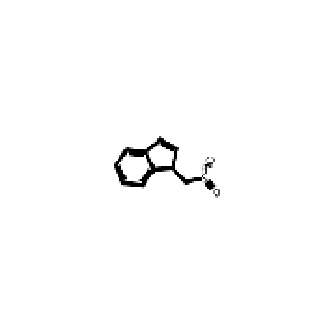 O=[SH](=O)CC1C=Cc2ccccc21